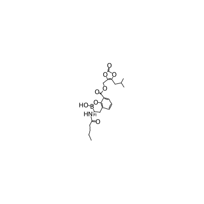 CCCCC(=O)N[C@H]1Cc2cccc(C(=O)OCc3oc(=O)oc3CC(C)C)c2OB1O